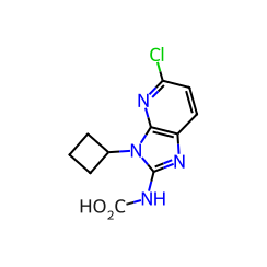 O=C(O)Nc1nc2ccc(Cl)nc2n1C1CCC1